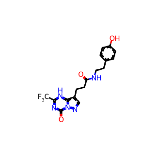 O=C(CCc1cnn2c(=O)nc(C(F)(F)F)[nH]c12)NCCc1ccc(O)cc1